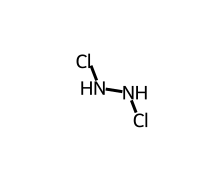 ClNNCl